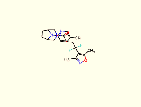 Cc1noc(C)c1C(F)(F)CCC(=O)N1CC2CCC(C1)N2c1ccc(C#N)cn1